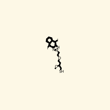 COC(CS)CCOCCn1nc2c(I)c3ccccc3c(I)c2n1